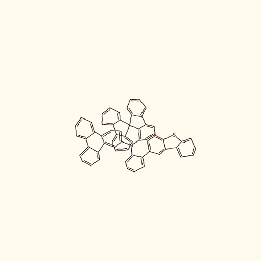 c1ccc(N(c2ccc3c4ccccc4c4ccccc4c3c2)c2cccc3c2C2(c4ccccc4-c4ccccc42)c2ccccc2-3)c(-c2ccc3sc4ccccc4c3c2)c1